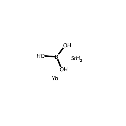 OB(O)O.[SrH2].[Yb]